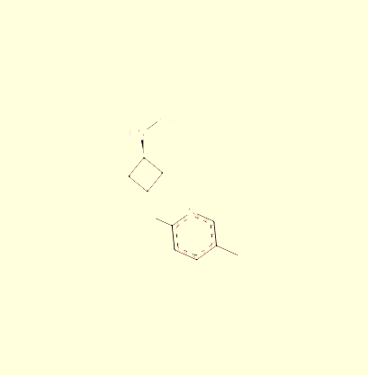 Cc1ccc(O[C@H]2C[C@H](NC(C)(C)C)C2)nc1